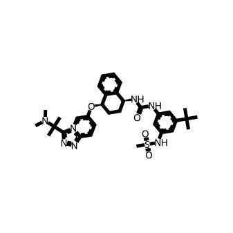 CN(C)C(C)(C)c1nnc2ccc(O[C@@H]3CC[C@H](NC(=O)Nc4cc(NS(C)(=O)=O)cc(C(C)(C)C)c4)c4ccccc43)cn12